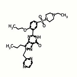 CCCOc1ccc(S(=O)(=O)N2CCN(CC)CC2)cc1-c1nc2c(CCC)n(Cc3cnccn3)nc2c(=O)[nH]1